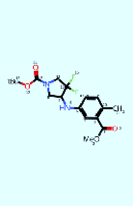 COC(=O)c1cc(NC2CN(C(=O)OC(C)(C)C)CC2(F)F)ccc1C